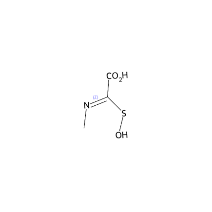 C/N=C(\SO)C(=O)O